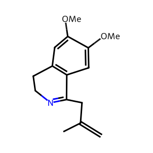 C=C(C)CC1=NCCc2cc(OC)c(OC)cc21